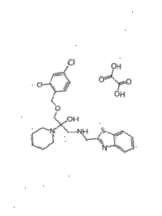 O=C(O)C(=O)O.OC(CNCc1nc2ccccc2s1)(COCc1ccc(Cl)cc1Cl)N1CCCCC1